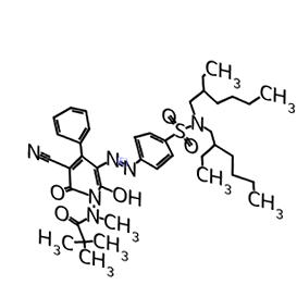 CCCCC(CC)CN(CC(CC)CCCC)S(=O)(=O)c1ccc(/N=N/c2c(-c3ccccc3)c(C#N)c(=O)n(N(C)C(=O)C(C)(C)C)c2O)cc1